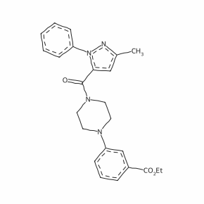 CCOC(=O)c1cccc(N2CCN(C(=O)c3cc(C)nn3-c3ccccc3)CC2)c1